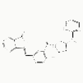 CN(c1ncccn1)C1CCN(C(=O)c2cc(C=C3OC(=O)c4ccccc43)ccc2F)C1